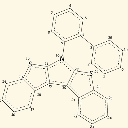 c1ccc(-c2ccccc2-n2c3sc4ccccc4c3c3c4ccccc4sc32)cc1